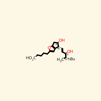 CCCC[C@H](C)[C@H](O)C=C[C@@H]1c2cc(CCCCC(=O)O)oc2C[C@H]1O